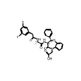 C[C@H](NC(=O)Cc1cc(F)cc(F)c1)C(=O)N[C@@H]1C(=O)N(CC(=O)O)c2ccccc2O[C@@H]1c1ccccc1